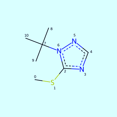 CSc1ncnn1C(C)(C)C